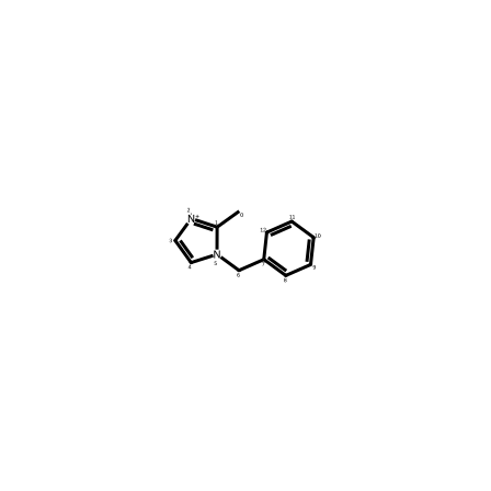 CC1=[N+]C=CN1Cc1ccccc1